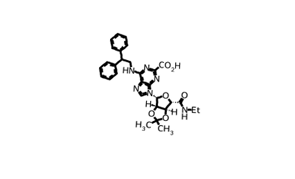 CCNC(=O)[C@H]1O[C@@H](n2cnc3c(NCC(c4ccccc4)c4ccccc4)nc(C(=O)O)nc32)[C@H]2OC(C)(C)O[C@@H]21